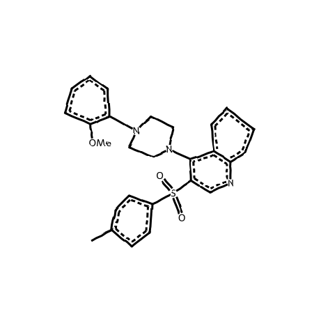 COc1ccccc1N1CCN(c2c(S(=O)(=O)c3ccc(C)cc3)cnc3ccccc23)CC1